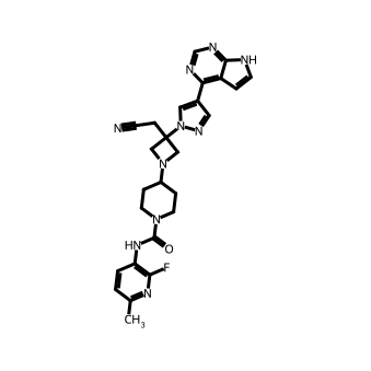 Cc1ccc(NC(=O)N2CCC(N3CC(CC#N)(n4cc(-c5ncnc6[nH]ccc56)cn4)C3)CC2)c(F)n1